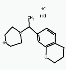 CC(c1ccc2c(c1)OCCC2)N1CCNCC1.Cl.Cl